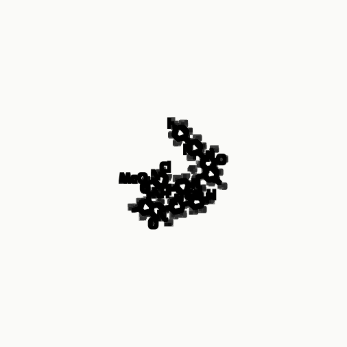 COC(=O)c1nc(Cl)ccc1N[C@H](C)c1cc(C)cc2c(=O)n(C)c(-c3ccc(-c4ccc(F)c(CN(c5ccc(Cl)cc5C(=O)O)[C@H](C)c5cc(C)cc6c(=O)n(C)c(-c7ccc(-c8ccc(F)cc8)nc7)cc56)c4)nc3)cc12